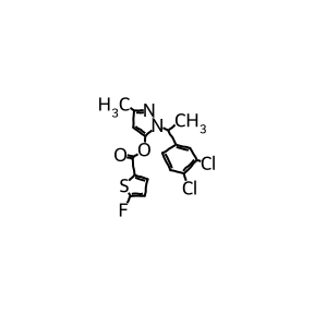 Cc1cc(OC(=O)c2ccc(F)s2)n(C(C)c2ccc(Cl)c(Cl)c2)n1